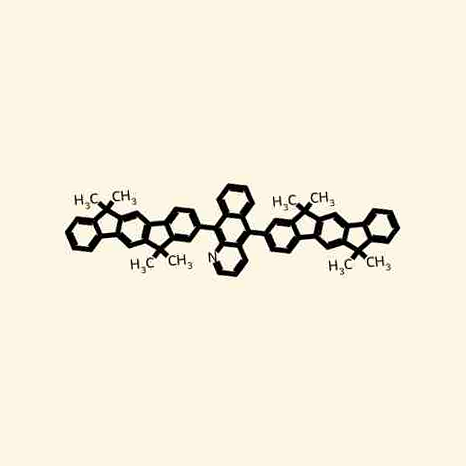 CC1(C)c2ccccc2-c2cc3c(cc21)-c1ccc(-c2c4ccccc4c(-c4ccc5c(c4)C(C)(C)c4cc6c(cc4-5)C(C)(C)c4ccccc4-6)c4ncccc24)cc1C3(C)C